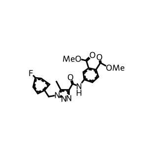 COC(=O)c1ccc(NC(=O)c2nnn(Cc3ccc(F)cc3)c2C)cc1C(=O)OC